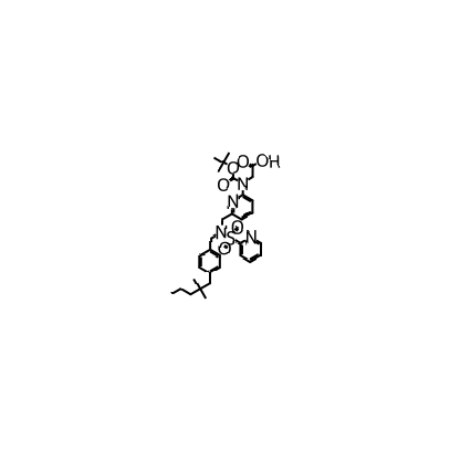 CCCC(C)(C)Cc1ccc(CN(Cc2cccc(N(CC(=O)O)C(=O)OC(C)(C)C)n2)S(=O)(=O)c2ccccn2)cc1